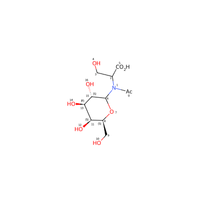 CC(=O)N(C(CO)C(=O)O)C1O[C@@H](CO)[C@@H](O)[C@@H](O)[C@@H]1O